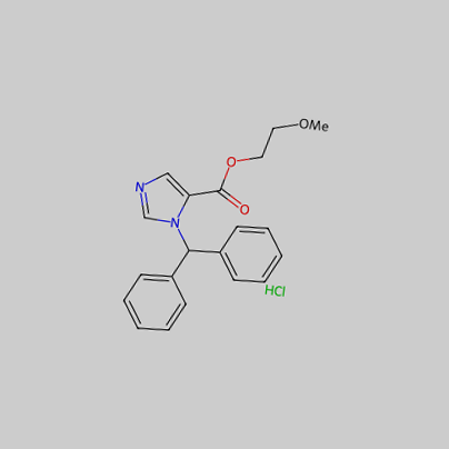 COCCOC(=O)c1cncn1C(c1ccccc1)c1ccccc1.Cl